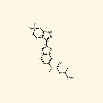 CCCCCC(C)CC(=O)N(C)c1ccc2cc(-c3n[nH]c4c3CCC(C)(C)C4)[nH]c2c1